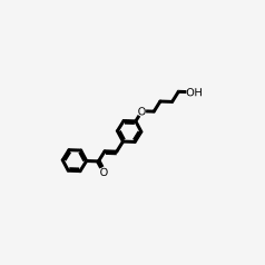 O=C(/C=C/c1ccc(OCCCCO)cc1)c1ccccc1